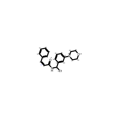 CCC(NC(=O)/C=C\c1ccccc1)c1cccc(N2CCOCC2)c1